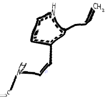 C=Cc1[nH]ccc1/C=C\NC